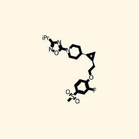 CC(C)c1noc(N2CCC([C@@H]3C[C@H]3CCOc3ccc(S(C)(=O)=O)cc3F)CC2)n1